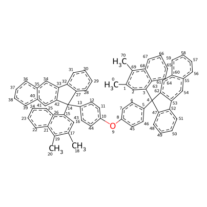 Cc1cc(C2(c3ccc(Oc4ccc(C5(c6cc(C)c(C)c7ccccc67)c6ccccc6-c6cc7ccccc7cc65)cc4)cc3)c3ccccc3-c3cc4ccccc4cc32)c2ccccc2c1C